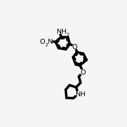 Nc1cc(Oc2ccc(OCCC3CCCCN3)cc2)ccc1[N+](=O)[O-]